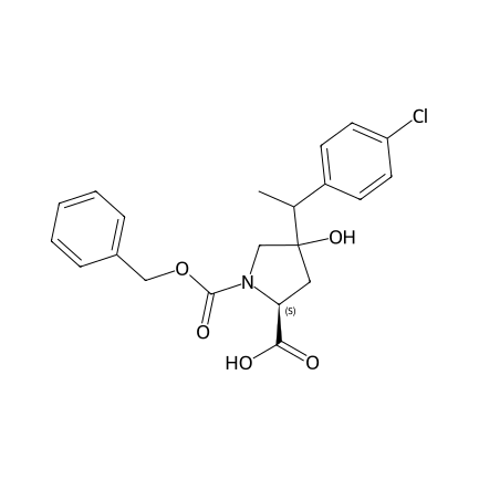 CC(c1ccc(Cl)cc1)C1(O)C[C@@H](C(=O)O)N(C(=O)OCc2ccccc2)C1